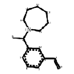 C=Cc1cccc(C(C)N2CCCCCC2)c1